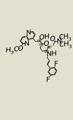 COc1ccc2nccc(C[C@H](O)[C@@H]3CC[C@@H](NCC=Cc4cc(F)ccc4F)[C@@H](CC(=O)N(C)C)O3)c2n1